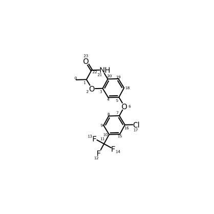 CC1Oc2cc(Oc3ccc(C(F)(F)F)cc3Cl)ccc2NC1=O